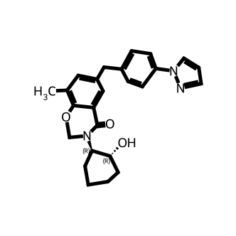 Cc1cc(Cc2ccc(-n3cccn3)cc2)cc2c1OCN([C@@H]1CCCC[C@H]1O)C2=O